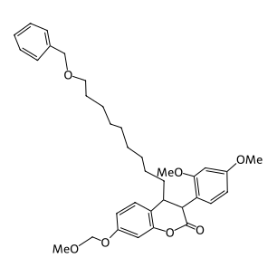 COCOc1ccc2c(c1)OC(=O)C(c1ccc(OC)cc1OC)C2CCCCCCCCCOCc1ccccc1